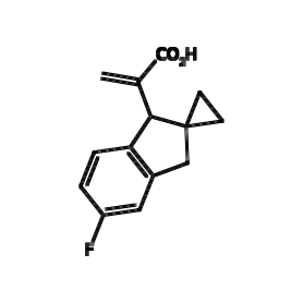 C=C(C(=O)O)C1c2ccc(F)cc2CC12CC2